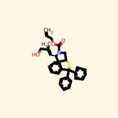 C=CCOC(=O)N1C[C@@H](SC(c2ccccc2)(c2ccccc2)c2ccccc2)C[C@H]1/C=C(\C)CO